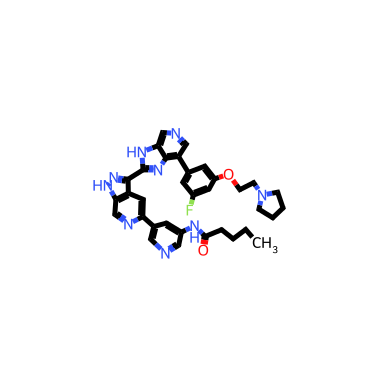 CCCCC(=O)Nc1cncc(-c2cc3c(-c4nc5c(-c6cc(F)cc(OCCN7CCCC7)c6)cncc5[nH]4)n[nH]c3cn2)c1